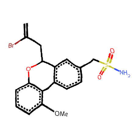 C=C(Br)CC1Oc2cccc(OC)c2-c2ccc(CS(N)(=O)=O)cc21